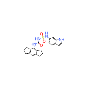 O=C(Nc1c2c(cc3c1CCC3)CCC2)NS(=O)(=O)Nc1ccc2cc[nH]c2c1